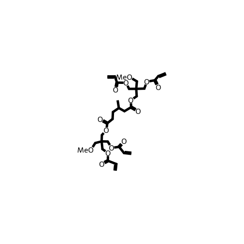 C=CC(=O)OCC(COC)(COC(=O)C=C)COC(=O)CCC(C)CC(=O)OCC(COC)(COC(=O)C=C)COC(=O)C=C